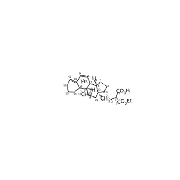 CCOC(=O)C(C[C@H]1CC[C@H]2[C@@H]3C=CC4=CCCC[C@]4(C)[C@H]3CC[C@]12C)C(=O)O